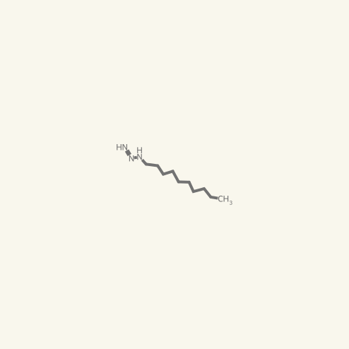 CCCCCCCCCCNN=N